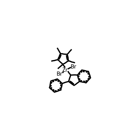 CC1=C(C)[C](C)([Zr]([Br])([Br])[CH]2C(c3ccccc3)=Cc3ccccc32)C(C)=C1C